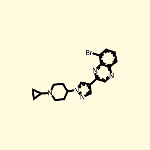 Brc1cccc2ncc(-c3cnn(C4CCN(C5CC5)CC4)c3)nc12